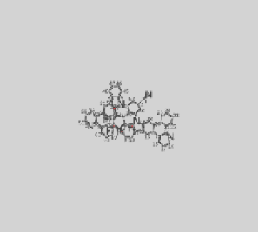 N#Cc1cc(-n2c3ccccc3c3cc(-c4cccnc4-c4ccccc4)ccc32)c(-c2c(F)c(F)c(F)c(F)c2F)c(-n2c3ccccc3c3cc(-c4cccnc4-c4ccccc4)ccc32)c1